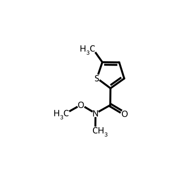 CON(C)C(=O)c1ccc(C)s1